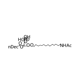 CCCCCCCCCCC(=O)O[C@@H](COCOCCCCCCCCCCCCCCNC(C)=O)COP(=O)(O)O